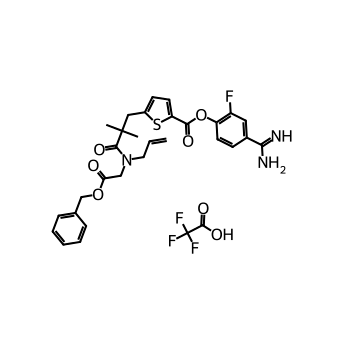 C=CCN(CC(=O)OCc1ccccc1)C(=O)C(C)(C)Cc1ccc(C(=O)Oc2ccc(C(=N)N)cc2F)s1.O=C(O)C(F)(F)F